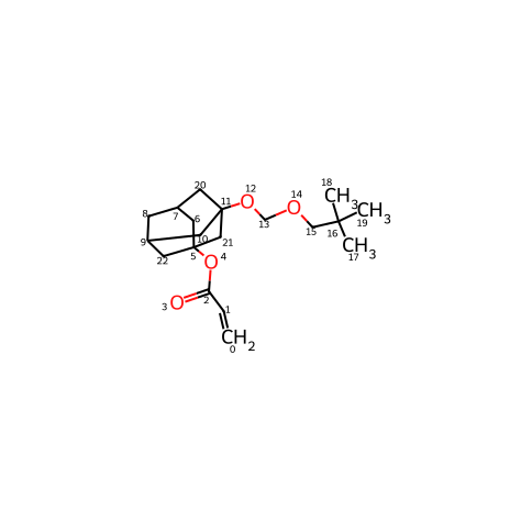 C=CC(=O)OC12CC3CC(CC(OCOCC(C)(C)C)(C3)C1)C2